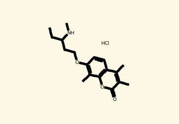 CCC(CCOc1ccc2c(C)c(C)c(=O)oc2c1C)NC.Cl